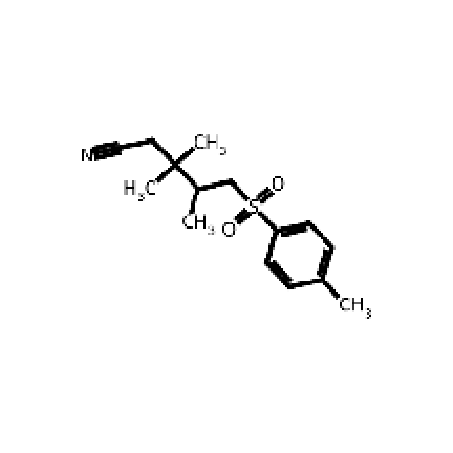 Cc1ccc(S(=O)(=O)CC(C)C(C)(C)CC#N)cc1